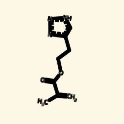 C=C(C)C(=O)OCCc1c[nH]nn1